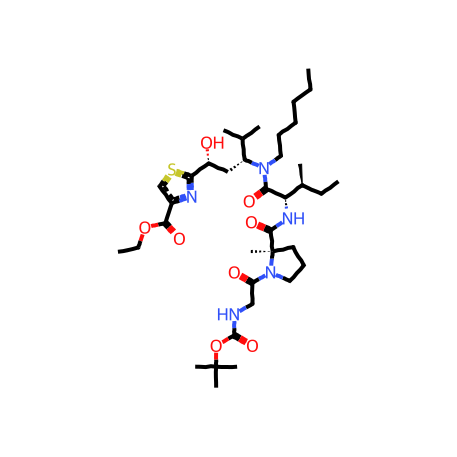 CCCCCCN(C(=O)[C@@H](NC(=O)[C@@]1(C)CCCN1C(=O)CNC(=O)OC(C)(C)C)[C@@H](C)CC)[C@H](C[C@@H](O)c1nc(C(=O)OCC)cs1)C(C)C